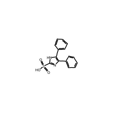 O=S(=O)(O)c1nc(-c2ccccc2)c(-c2ccccc2)[nH]1